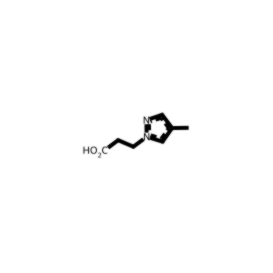 Cc1cnn(CCC(=O)O)c1